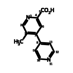 Cc1cnc(C(=O)O)cc1-c1ccncc1